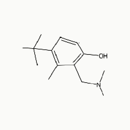 Cc1c(C(C)(C)C)c[c]c(O)c1CN(C)C